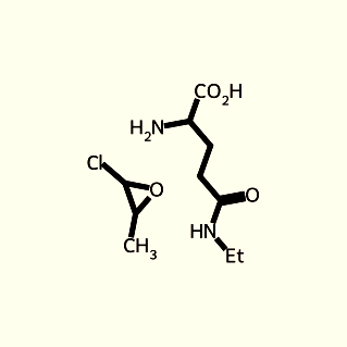 CC1OC1Cl.CCNC(=O)CCC(N)C(=O)O